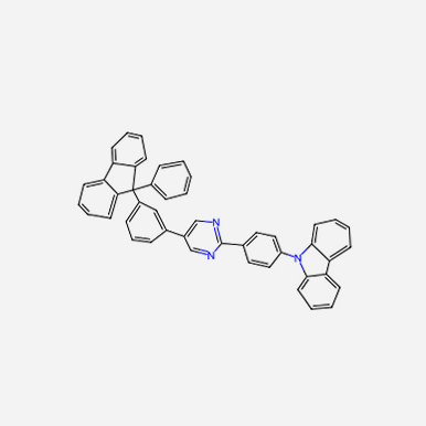 c1ccc(C2(c3cccc(-c4cnc(-c5ccc(-n6c7ccccc7c7ccccc76)cc5)nc4)c3)c3ccccc3-c3ccccc32)cc1